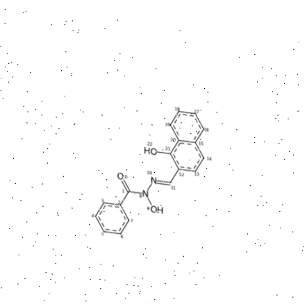 O=C(c1ccccc1)N(O)N=Cc1ccc2ccccc2c1O